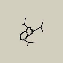 CC(C)c1cc(C(C)C)c2cccc(C(C)C)c2c1